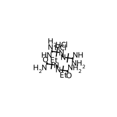 CC(C)(N=NC(C)(C)C(=N)N)C(=N)N.CCC(C)(N=NC(C)(CC)C(N)=O)C(N)=O.Cl.Cl